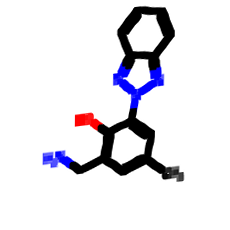 Cc1cc(CN)c(O)c(-n2nc3ccccc3n2)c1